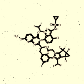 COc1ccc2c(=O)n(-c3ccc(Cl)c4c(NS(=O)(=O)C5CC5)nn(CC(F)F)c34)c(C(Cc3cc(F)cc(F)c3)NC(=O)Cn3nc(C(F)F)c4c3C(F)(F)[C@@H]3C[C@H]43)nc2n1